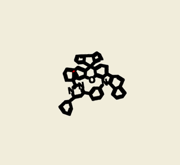 c1ccc(-c2cc(-c3cccc(-n4c5c6c(ccc5c5ccc7ccccc7c54)C4(c5ccccc5O6)c5ccccc5-c5ccccc54)c3)nc(-c3ccccc3)n2)cc1